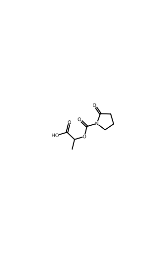 CC(OC(=O)N1CCCC1=O)C(=O)O